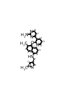 Cc1ccc2c(NCc3cnn(C)c3)cccc2c1Oc1ncccc1-c1ccnc(N)n1